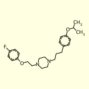 CC(C)Oc1ccc(CCCN2CCN(CCOc3ccc(F)cc3)CC2)cc1